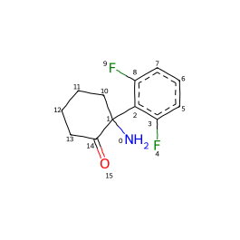 NC1(c2c(F)cccc2F)CCCCC1=O